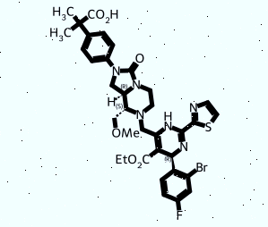 CCOC(=O)C1=C(CN2CCN3C(=O)N(c4ccc(C(C)(C)C(=O)O)cc4)C[C@@H]3[C@H]2COC)NC(c2nccs2)=N[C@H]1c1ccc(F)cc1Br